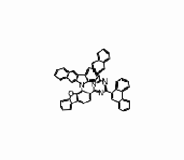 c1ccc2cc(-c3nc(-c4ccc5c(oc6ccccc65)c4-n4c5ccccc5c5cc6ccccc6cc54)nc(-c4cc5ccccc5c5ccccc45)n3)ccc2c1